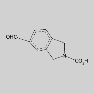 O=Cc1ccc2c(c1)CN(C(=O)O)C2